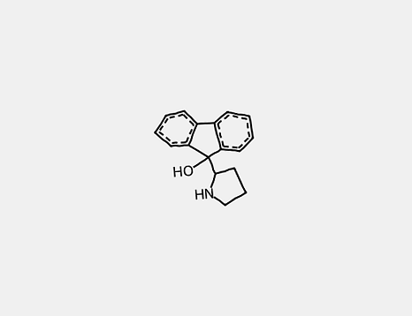 OC1(C2CCCN2)c2ccccc2-c2ccccc21